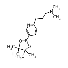 CN(C)CCCc1ccc(B2OC(C)(C)C(C)(C)O2)cn1